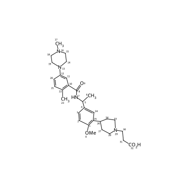 COc1ccc(C(C)NC(=O)c2cc(N3CCN(C)CC3)ccc2C)cc1C1CCN(CCC(=O)O)CC1